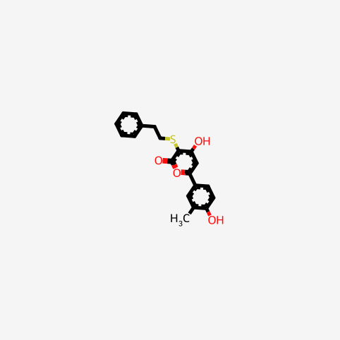 Cc1cc(-c2cc(O)c(SCCc3ccccc3)c(=O)o2)ccc1O